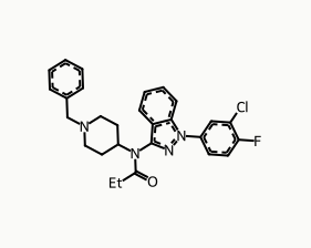 CCC(=O)N(c1nn(-c2ccc(F)c(Cl)c2)c2ccccc12)C1CCN(Cc2ccccc2)CC1